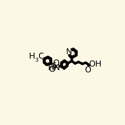 Cc1ccc(S(=O)(=O)Nc2ccc(C(CCCCC(=O)O)c3cccnc3)cc2)cc1